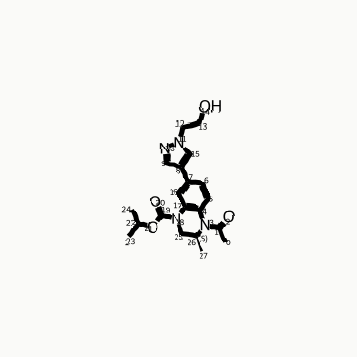 CC(=O)N1c2ccc(-c3cnn(CCO)c3)cc2N(C(=O)OC(C)C)C[C@@H]1C